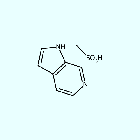 CS(=O)(=O)O.c1cc2cc[nH]c2cn1